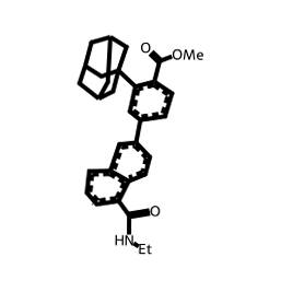 CCNC(=O)c1[c]ccc2cc(-c3ccc(C(=O)OC)c(C45CC6CC(CC(C6)C4)C5)c3)ccc12